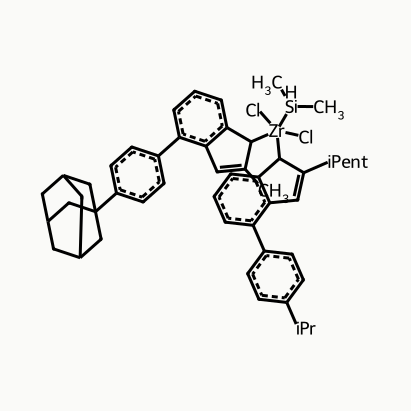 CCCC(C)C1=Cc2c(-c3ccc(C(C)C)cc3)cccc2[CH]1[Zr]([Cl])([Cl])([CH]1C(C)=Cc2c(-c3ccc(C45CC6CC(CC(C6)C4)C5)cc3)cccc21)[SiH](C)C